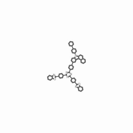 c1ccc(-c2ccc(-n3c4ccc(-c5ccc(-c6nc(-c7ccc(-c8nc9ccccc9o8)cc7)nc(-c7ccc(-c8nc9ccccc9o8)cc7)n6)cc5)cc4c4c5ccccc5ccc43)cc2)cc1